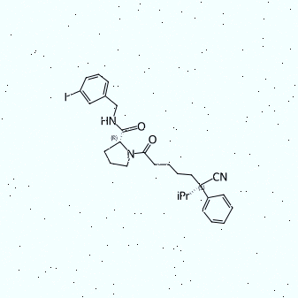 CC(C)[C@@](C#N)(CCCCC(=O)N1CCC[C@@H]1C(=O)NCc1cccc(I)c1)c1ccccc1